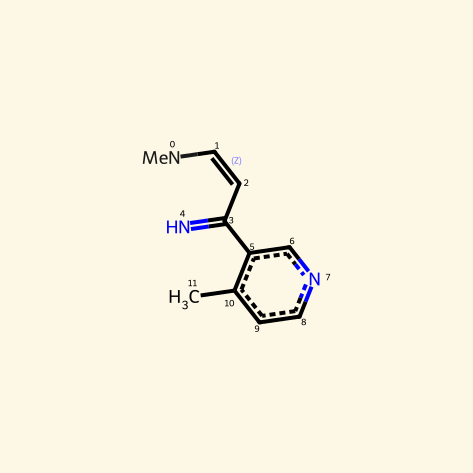 CN/C=C\C(=N)c1cnccc1C